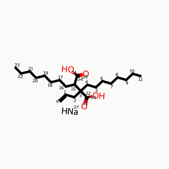 C=CCC(CCCCCCCC)(C(=O)O)C(CCCCCCCC)C(=O)O.[NaH]